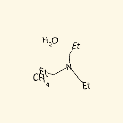 C.CCN(CC)CC.O